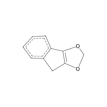 c1ccc2c(c1)CC1=C2OCO1